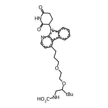 CC(C)(C)C(CNC(=O)O)OCCOCCCc1ccnc2c1c1ccccc1n2C1CCC(=O)NC1=O